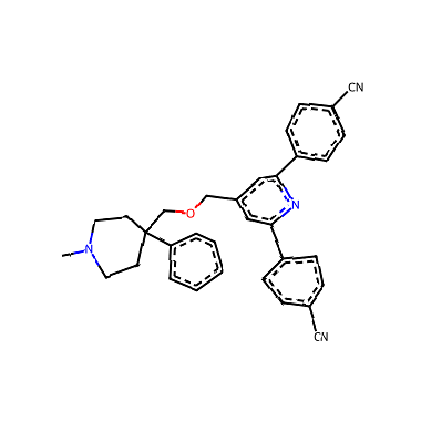 CN1CCC(COCc2cc(-c3ccc(C#N)cc3)nc(-c3ccc(C#N)cc3)c2)(c2ccccc2)CC1